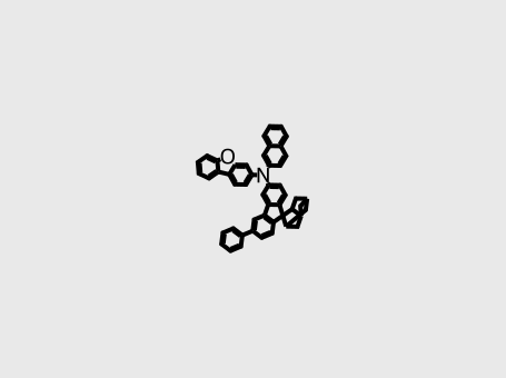 c1ccc(-c2ccc3c(c2)-c2cc(N(c4ccc5ccccc5c4)c4ccc5c(c4)oc4ccccc45)ccc2C32C3CC4CC(C3)C2C4)cc1